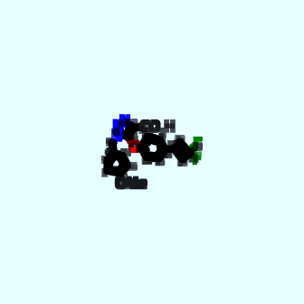 COc1ccc(Cn2nnc(C(=O)O)c2Oc2ccc(C3CC(F)(F)C3)cc2)cc1